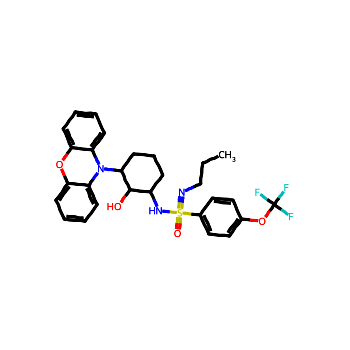 CCCN=S(=O)(NC1CCCC(N2c3ccccc3Oc3ccccc32)C1O)c1ccc(OC(F)(F)F)cc1